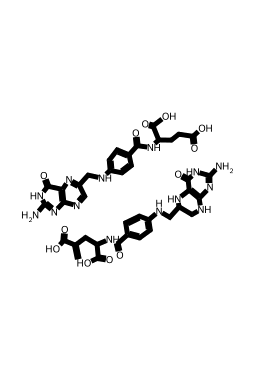 C=C(CC(NC(=O)c1ccc(NCC2CNc3nc(N)[nH]c(=O)c3N2)cc1)C(=O)O)C(=O)O.Nc1nc2ncc(CNc3ccc(C(=O)NC(CCC(=O)O)C(=O)O)cc3)nc2c(=O)[nH]1